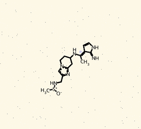 C/C(NC1CCn2cc(CN[S+](C)[O-])nc2C1)=C1/C=CNC1=N